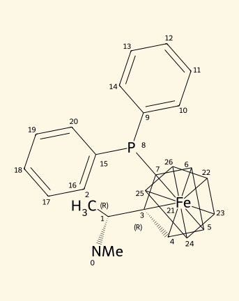 CN[C@H](C)[C@@]12[CH]3[CH]4[CH]5[C]1(P(c1ccccc1)c1ccccc1)[Fe]45321678[CH]2[CH]1[CH]6[CH]7[CH]28